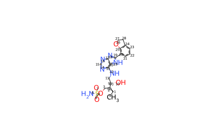 CC[C@@H](COS(N)(=O)=O)[C@@H](O)CNc1ncnc2nc(-c3cccc4c3OCC4)[nH]c12